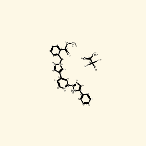 COC(=O)c1ccccc1Cn1cc(-c2ccnc(-c3ncc(-c4ccccc4)[nH]3)c2)cn1.O=C(O)C(F)(F)F